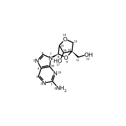 Nc1ncc2ncn([C@@H]3O[C@@]4(CO)COC3C4O)c2n1